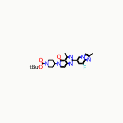 Cc1cn2cc(-c3nc(C)c4c(=O)n(C5CCN(C(=O)OC(C)(C)C)CC5)ccc4n3)cc(F)c2n1